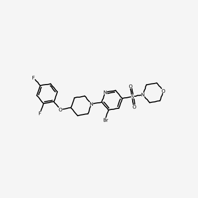 O=S(=O)(c1cnc(N2CCC(Oc3ccc(F)cc3F)CC2)c(Br)c1)N1CCOCC1